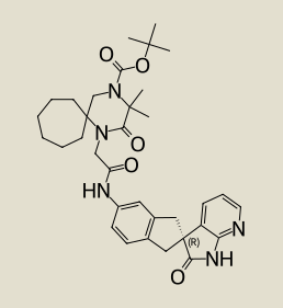 CC(C)(C)OC(=O)N1CC2(CCCCCC2)N(CC(=O)Nc2ccc3c(c2)C[C@@]2(C3)C(=O)Nc3ncccc32)C(=O)C1(C)C